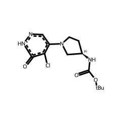 CC(C)(C)OC(=O)N[C@@H]1CCN(c2cn[nH]c(=O)c2Cl)C1